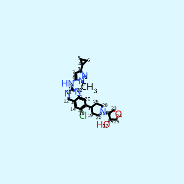 Cn1nc(C2CC2)cc1Nc1ncc2cc(Cl)c(C3CCN([C@H]4COC[C@H]4O)CC3)cc2n1